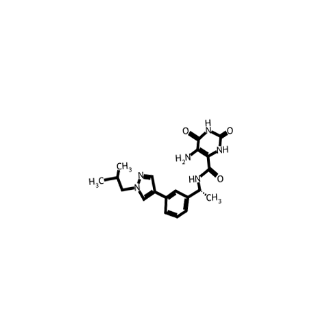 CC(C)Cn1cc(-c2cccc([C@@H](C)NC(=O)c3[nH]c(=O)[nH]c(=O)c3N)c2)cn1